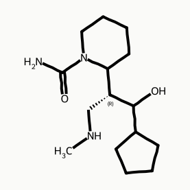 CNC[C@@H](C(O)C1CCCC1)C1CCCCN1C(N)=O